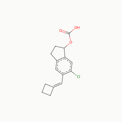 O=C(O)OC1CCc2cc(C=C3CCC3)c(Cl)cc21